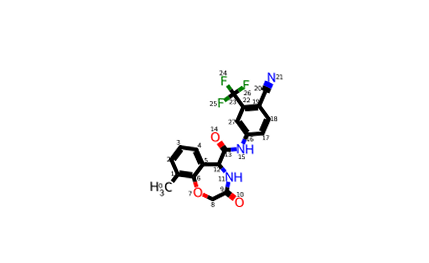 Cc1cccc2c1OCC(=O)NC2C(=O)Nc1ccc(C#N)c(C(F)(F)F)c1